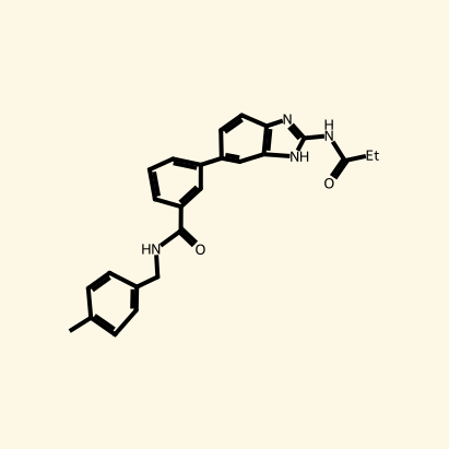 CCC(=O)Nc1nc2ccc(-c3cccc(C(=O)NCc4ccc(C)cc4)c3)cc2[nH]1